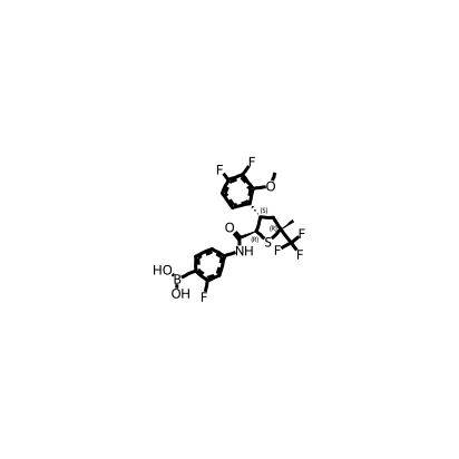 COc1c([C@@H]2C[C@](C)(C(F)(F)F)S[C@H]2C(=O)Nc2ccc(B(O)O)c(F)c2)ccc(F)c1F